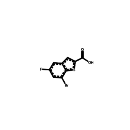 O=C(O)c1cc2cc(F)cc(Br)c2s1